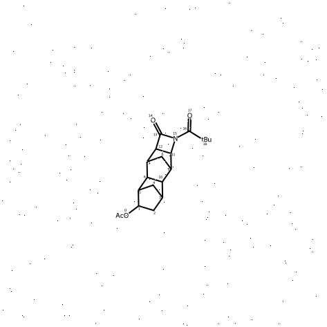 CC(=O)OC1CC2CC1C1C3CC(C21)C1C3C(=O)N1C(=O)C(C)(C)C